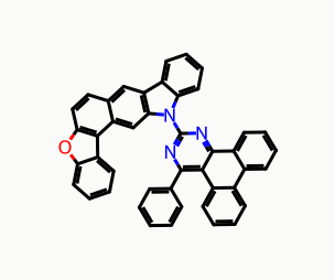 c1ccc(-c2nc(-n3c4ccccc4c4cc5ccc6oc7ccccc7c6c5cc43)nc3c4ccccc4c4ccccc4c23)cc1